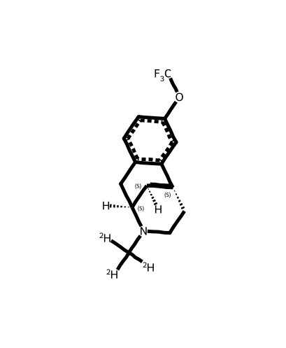 [2H]C([2H])([2H])N1CC[C@@]23CCCC[C@@H]2[C@@H]1Cc1ccc(OC(F)(F)F)cc13